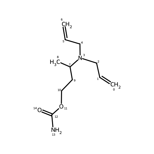 C=CCN(CC=C)C(C)CCOC(N)=O